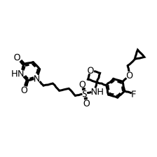 O=c1ccn(CCCCCS(=O)(=O)NC2(c3ccc(F)c(OCC4CC4)c3)COC2)c(=O)[nH]1